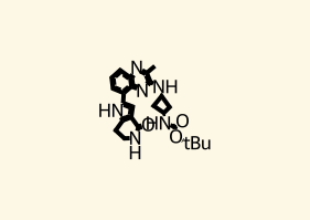 Cc1nc2cccc(-c3cc4c([nH]3)CCNC4=O)c2nc1N[C@H]1C[C@H](NC(=O)OC(C)(C)C)C1